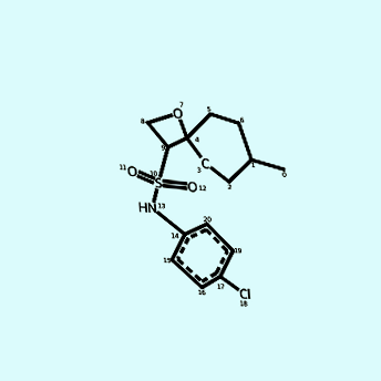 CC1CCC2(CC1)OCC2S(=O)(=O)Nc1ccc(Cl)cc1